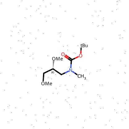 COC[C@@H](CN(C)C(=O)OC(C)(C)C)OC